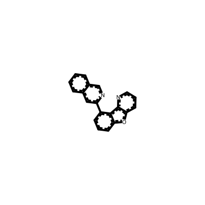 c1ccc2cc(-c3cccc4oc5cccnc5c34)ncc2c1